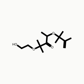 C=C(C)C(C)(C)OC(C)C(=O)C(C)(C)OCCO